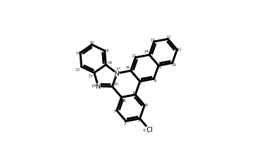 Clc1ccc2c(c1)c1cc3ccccc3cc1n1c3ccccc3nc21